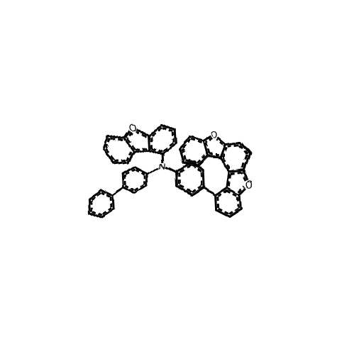 c1ccc(-c2ccc(N(c3ccc(-c4cccc5oc6ccc7oc8ccccc8c7c6c45)cc3)c3cccc4oc5ccccc5c34)cc2)cc1